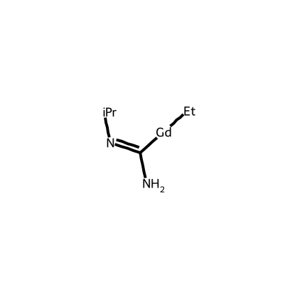 C[CH2][Gd][C](N)=NC(C)C